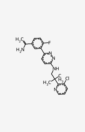 C=C(N)c1ccc(F)c(-c2ccc(NCC(C)(C)c3ncccc3Cl)nn2)c1